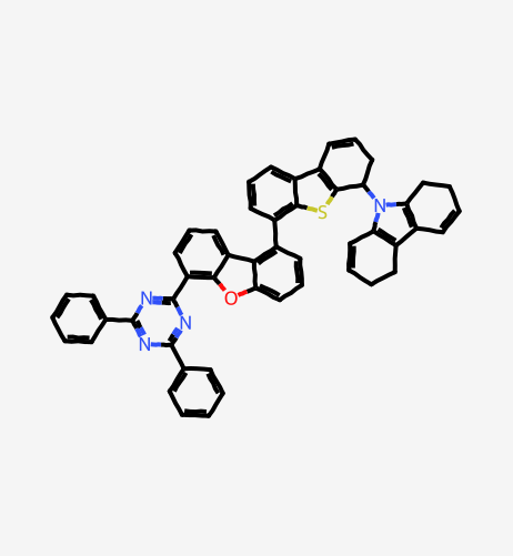 C1=Cc2c(c3c(n2C2CC=Cc4c2sc2c(-c5cccc6oc7c(-c8nc(-c9ccccc9)nc(-c9ccccc9)n8)cccc7c56)cccc42)CCC=C3)CC1